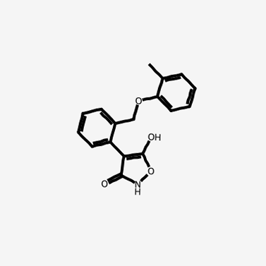 Cc1ccccc1OCc1ccccc1-c1c(O)o[nH]c1=O